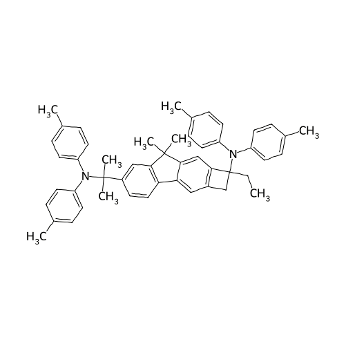 CCC1(N(c2ccc(C)cc2)c2ccc(C)cc2)Cc2cc3c(cc21)C(C)(C)c1cc(C(C)(C)N(c2ccc(C)cc2)c2ccc(C)cc2)ccc1-3